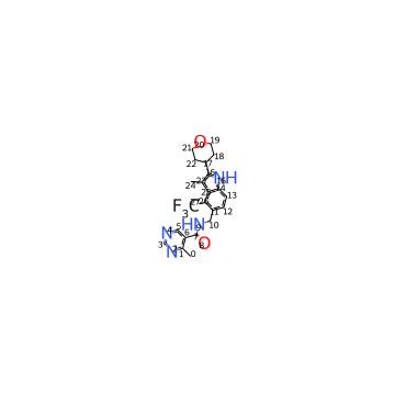 Cc1ncncc1C(=O)NCc1ccc2[nH]c(C3CCOCC3)c(C)c2c1C(F)(F)F